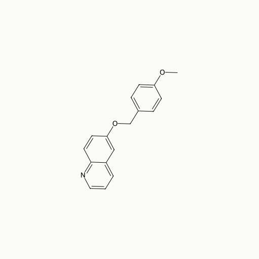 COc1ccc(COc2ccc3ncccc3c2)cc1